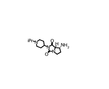 CC(C)N1CCC(N2C(=O)[C@@H]3[C@H](N)CCN3C2=O)CC1